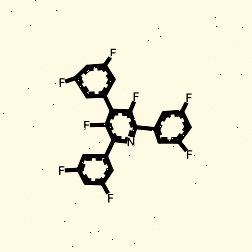 Fc1cc(F)cc(-c2nc(-c3cc(F)cc(F)c3)c(F)c(-c3cc(F)cc(F)c3)c2F)c1